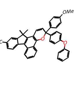 COc1ccc(C2(c3ccc(Oc4ccccc4)cc3)C=Cc3c4c(c5ccccc5c3O2)-c2ccc(C(F)(F)F)cc2C4(C)C)cc1